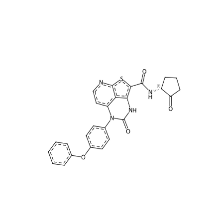 O=C(N[C@@H]1CCCC1=O)c1sc2nccc3c2c1NC(=O)N3c1ccc(Oc2ccccc2)cc1